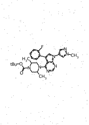 CC1CN(c2ncnc3c2c(-c2ccccc2F)cn3-c2cnn(C)c2)C(C)CN1C(=O)OC(C)(C)C